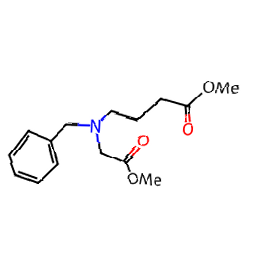 COC(=O)CCCN(CC(=O)OC)Cc1ccccc1